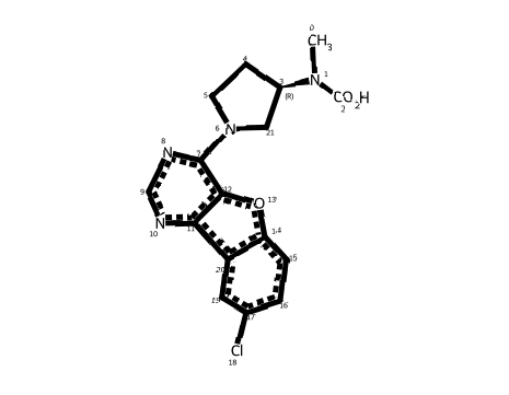 CN(C(=O)O)[C@@H]1CCN(c2ncnc3c2oc2ccc(Cl)cc23)C1